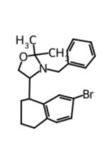 CC1(C)OCC(C2CCCc3ccc(Br)cc32)N1Cc1ccccc1